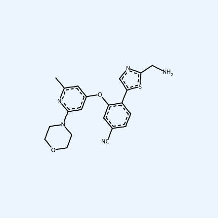 Cc1cc(Oc2cc(C#N)ccc2-c2cnc(CN)s2)cc(N2CCOCC2)n1